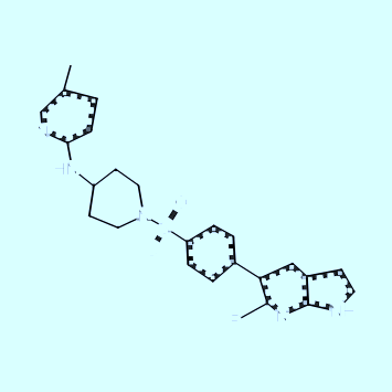 Cc1ccc(NC2CCN(S(=O)(=O)c3ccc(-c4cc5cc[nH]c5nc4F)cc3)CC2)nc1